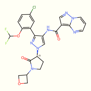 O=C(Nc1cn([C@H]2CCN(C3COC3)C2=O)nc1-c1cc(Cl)ccc1OC(F)F)c1cnn2cccnc12